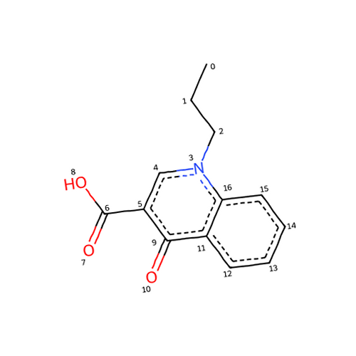 CCCn1cc(C(=O)O)c(=O)c2ccccc21